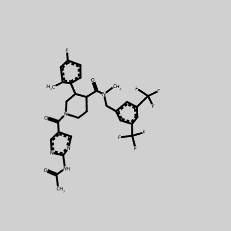 CC(=O)Nc1ncc(C(=O)N2CCC(C(=O)N(C)Cc3cc(C(F)(F)F)cc(C(F)(F)F)c3)C(c3ccc(F)cc3C)C2)cn1